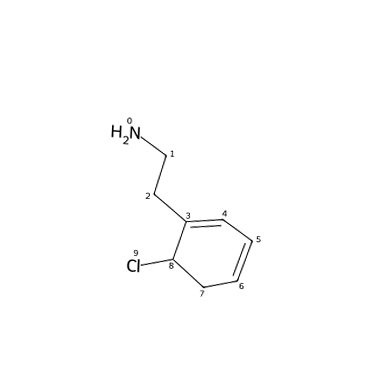 NCCC1=CC=CCC1Cl